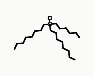 CCCCCCCC[Si](Cl)(CCCCCC)CCCCCCCC